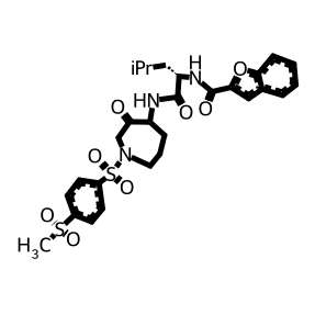 CC(C)C[C@H](NC(=O)c1cc2ccccc2o1)C(=O)NC1CCCN(S(=O)(=O)c2ccc(S(C)(=O)=O)cc2)CC1=O